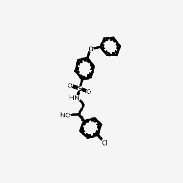 O=S(=O)(NCC(O)c1ccc(Cl)cc1)c1ccc(Oc2ccccc2)cc1